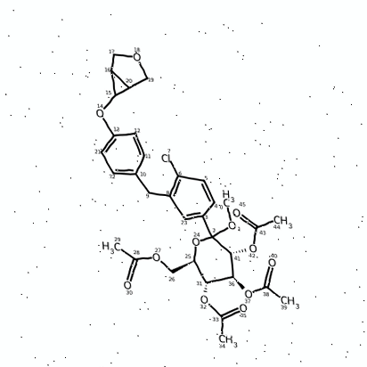 COC1(c2ccc(Cl)c(Cc3ccc(OC4C5COCC54)cc3)c2)O[C@H](COC(C)=O)[C@@H](OC(C)=O)[C@H](OC(C)=O)[C@H]1OC(C)=O